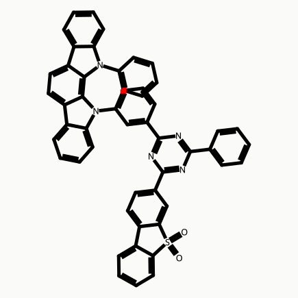 O=S1(=O)c2ccccc2-c2ccc(-c3nc(-c4ccccc4)nc(-c4cccc(-n5c6ccccc6c6ccc7c8ccccc8n(-c8ccccc8)c7c65)c4)n3)cc21